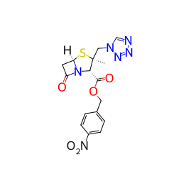 C[C@@]1(Cn2cnnn2)S[C@@H]2CC(=O)N2[C@H]1C(=O)OCc1ccc([N+](=O)[O-])cc1